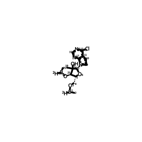 [2H]B(C)OC[C@H]1O[C@@H](n2ccc3c(Cl)ncnc32)C(C)(O)[C@@H]1OB([2H])C